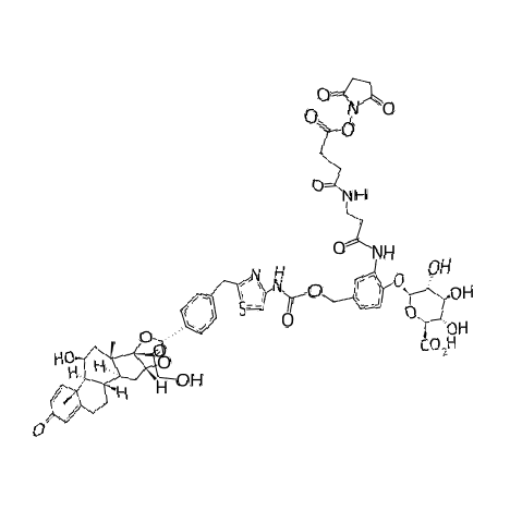 C[C@]12C=CC(=O)C=C1CC[C@@H]1[C@@H]2[C@@H](O)C[C@@]2(C)[C@H]1C[C@H]1O[C@@H](c3ccc(Cc4nc(NC(=O)OCc5ccc(O[C@@H]6O[C@H](C(=O)O)[C@@H](O)[C@H](O)[C@H]6O)c(NC(=O)CCNC(=O)CCC(=O)ON6C(=O)CCC6=O)c5)cs4)cc3)O[C@]12C(=O)CO